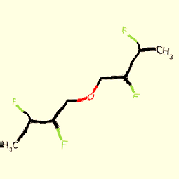 CC(F)C(F)COCC(F)C(C)F